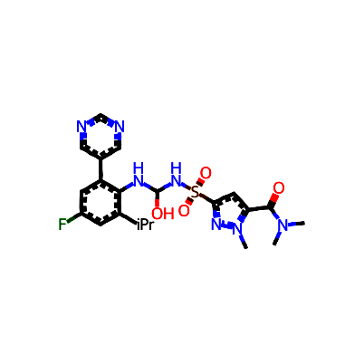 CC(C)c1cc(F)cc(-c2cncnc2)c1NC(O)NS(=O)(=O)c1cc(C(=O)N(C)C)n(C)n1